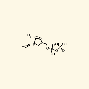 C#C[C@H]1CC(COP(=O)(O)OP(=O)(O)O)O[C@H]1C